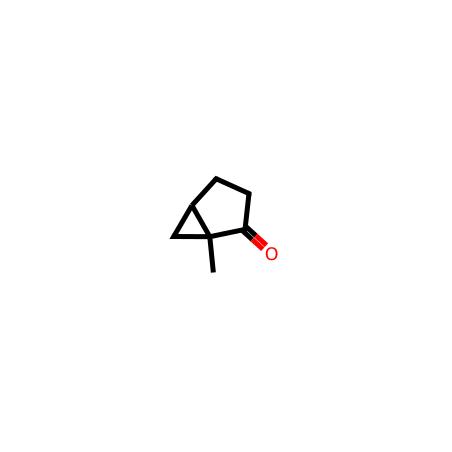 CC12CC1CCC2=O